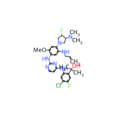 C=CCNc1cc(Nc2nccc(Nc3cc(Cl)c(F)cc3C(C)(C)O)n2)c(OC)cc1N1C[C@@H](F)[C@@H](N(C)C)C1